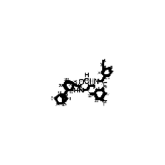 CCc1cccc(CNC[C@@H](O)[C@H](Cc2cc(F)cc(F)c2)NC(=O)c2cccc(C3CC4CCC3C4)c2)c1